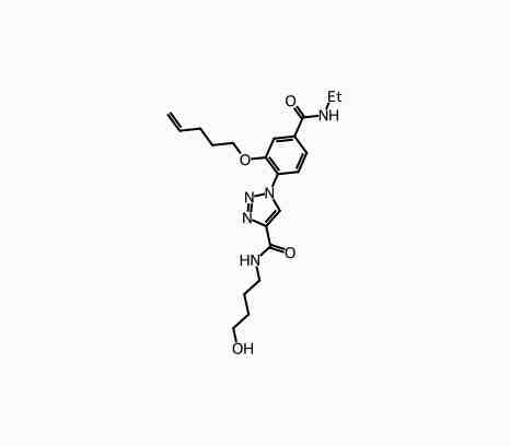 C=CCCCOc1cc(C(=O)NCC)ccc1-n1cc(C(=O)NCCCCO)nn1